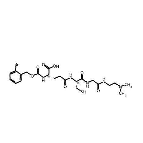 CN(C)CCNC(=O)CNC(=O)[C@H](CS)NC(=O)CC[C@H](NC(=O)OCc1ccccc1Br)C(=O)O